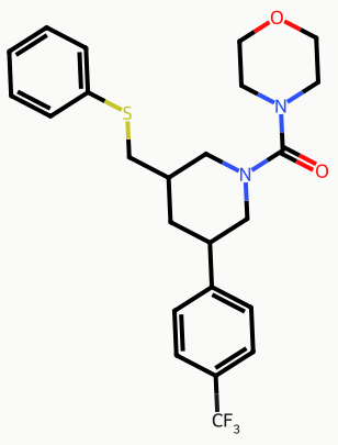 O=C(N1CCOCC1)N1CC(CSc2ccccc2)CC(c2ccc(C(F)(F)F)cc2)C1